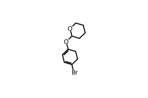 BrC1=CC=C(OC2CCCCO2)CC1